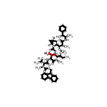 CC[C@H](C)[C@@H]([C@@H](CC(=O)N1[C@H]2C[C@H]2C[C@H]1[C@H](OC)[C@@H](C)C(=O)N[C@H](C)[C@@H](O)c1ccccc1)OC)N(C)C(=O)[C@@H](NC(=O)[C@H](C(C)C)N(C)C(=O)OCC1c2ccccc2-c2ccccc21)C(C)C